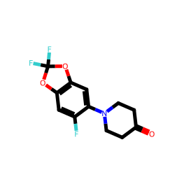 O=C1CCN(c2cc3c(cc2F)OC(F)(F)O3)CC1